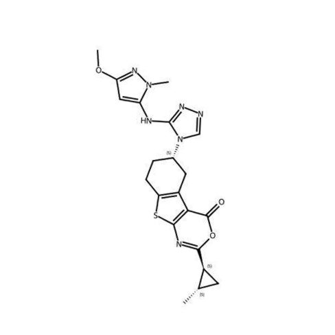 COc1cc(Nc2nncn2[C@H]2CCc3sc4nc([C@H]5C[C@@H]5C)oc(=O)c4c3C2)n(C)n1